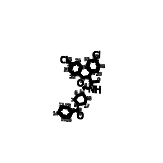 CC(NC(=O)[C@H]1CC[C@H](C(=O)c2ccccc2)CC1)C(Cc1ccc(Cl)cc1)c1ccc(Cl)cc1